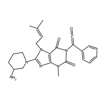 CC(C)=CCn1c(N2CCCC(N)C2)nc2c1c(=O)n(C(=C=O)c1ccccc1)c(=O)n2C